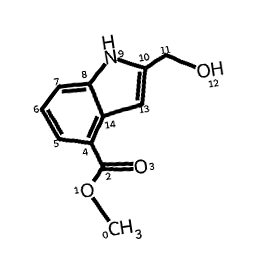 COC(=O)c1cccc2[nH]c(CO)cc12